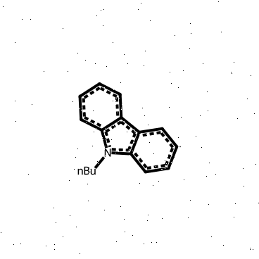 CCCCn1c2cc[c]cc2c2ccccc21